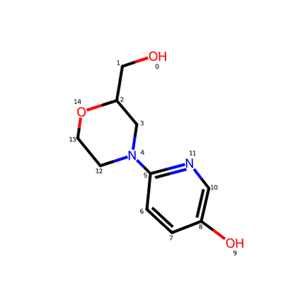 OCC1CN(c2ccc(O)cn2)CCO1